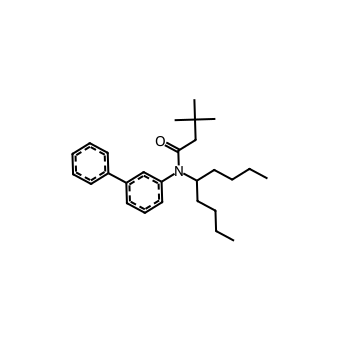 CCCCC(CCCC)N(C(=O)CC(C)(C)C)c1cccc(-c2ccccc2)c1